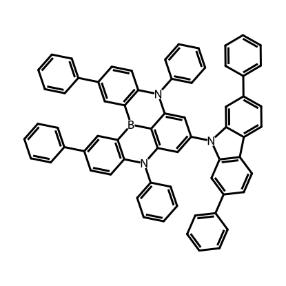 c1ccc(-c2ccc3c(c2)B2c4cc(-c5ccccc5)ccc4N(c4ccccc4)c4cc(-n5c6cc(-c7ccccc7)ccc6c6ccc(-c7ccccc7)cc65)cc(c42)N3c2ccccc2)cc1